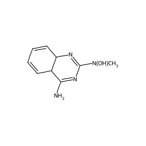 CN(O)C1=NC2C=CC=CC2C(N)=N1